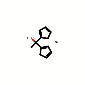 CC(O)(C1=CC=CC1)C1=CC=CC1.[Ni]